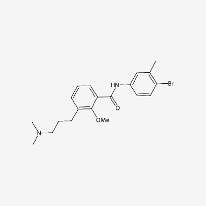 COc1c(CCCN(C)C)cccc1C(=O)Nc1ccc(Br)c(C)c1